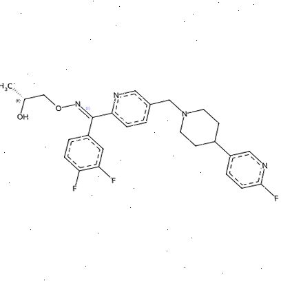 C[C@@H](O)CO/N=C(\c1ccc(F)c(F)c1)c1ccc(CN2CCC(c3ccc(F)nc3)CC2)cn1